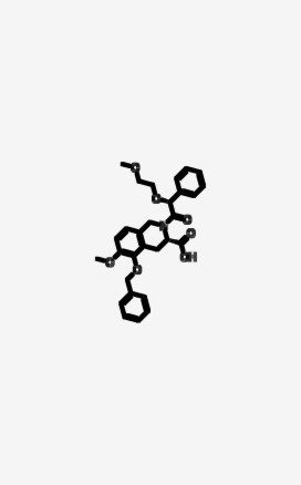 COCCO[C@H](C(=O)N1Cc2ccc(OC)c(OCc3ccccc3)c2C[C@@H]1C(=O)O)c1ccccc1